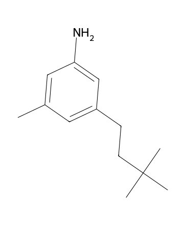 Cc1cc(N)cc(CCC(C)(C)C)c1